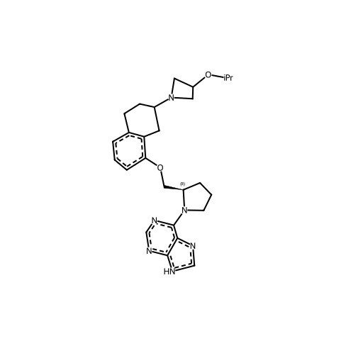 CC(C)OC1CN(C2CCc3cccc(OC[C@H]4CCCN4c4ncnc5[nH]cnc45)c3C2)C1